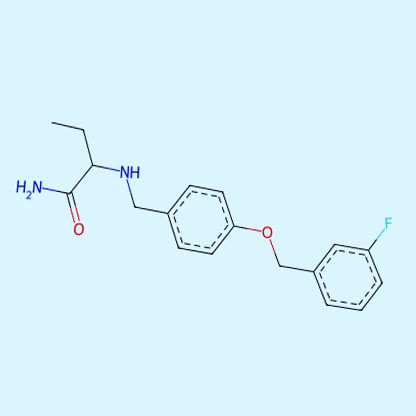 CCC(NCc1ccc(OCc2cccc(F)c2)cc1)C(N)=O